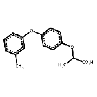 Cc1cccc(Oc2ccc(OC(C)C(=O)O)cc2)c1